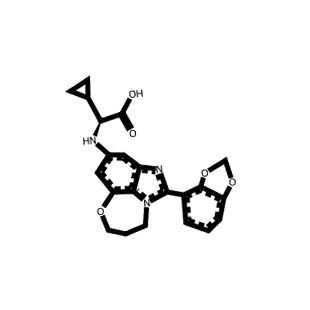 O=C(O)[C@@H](Nc1cc2c3c(c1)nc(-c1cccc4c1OCO4)n3CCCO2)C1CC1